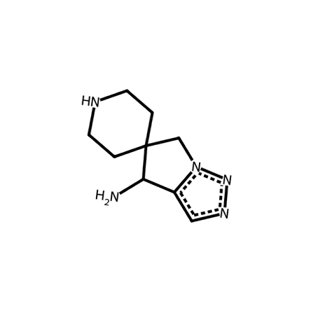 NC1c2cnnn2CC12CCNCC2